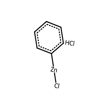 Cl.[Cl][Zn][c]1ccccc1